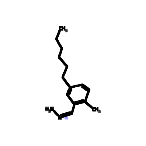 CCCCCCc1ccc(C)c(/C=N\N)c1